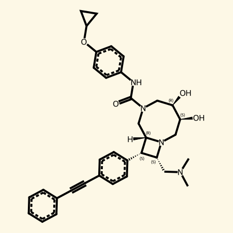 CN(C)C[C@@H]1[C@H](c2ccc(C#Cc3ccccc3)cc2)[C@@H]2CN(C(=O)Nc3ccc(OC4CC4)cc3)C[C@@H](O)[C@@H](O)CN12